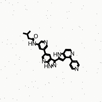 CC(C)CC(=O)Nc1cncc(-c2cnc3[nH]nc(-c4cc5c(-c6ccncc6)nccc5[nH]4)c3c2)c1